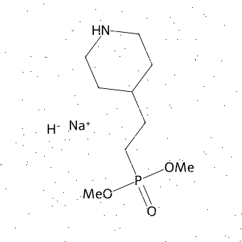 COP(=O)(CCC1CCNCC1)OC.[H-].[Na+]